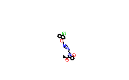 COc1cccc2c(C(=O)C3CC3)cn(CCCN3CCN(CCOc4ccc(Cl)c5ccccc45)CC3)c12